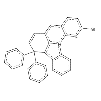 Brc1ccc2cc3c4c(c5ccccc5n4c2n1)C(c1ccccc1)(c1ccccc1)C=C3